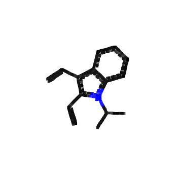 C=Cc1c(C=C)n(C(C)C)c2ccccc12